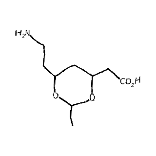 CC1OC(CCN)CC(CC(=O)O)O1